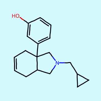 Oc1cccc(C23CC=CCC2CN(CC2CC2)C3)c1